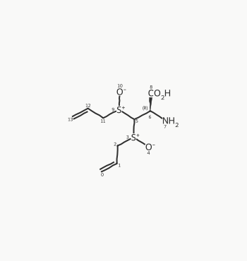 C=CC[S+]([O-])C([C@H](N)C(=O)O)[S+]([O-])CC=C